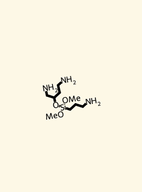 CO[Si](CCCN)(OC)OC(CN)CCN